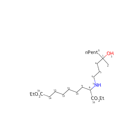 CCCCCC(C)(O)CCCNC(CCCCCCC(=O)OCC)C(=O)OCC